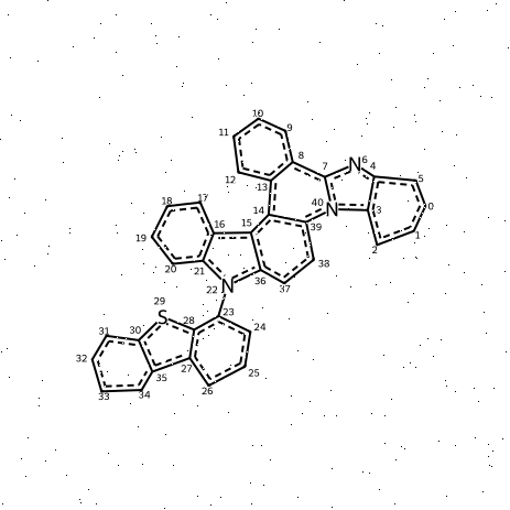 c1ccc2c(c1)nc1c3ccccc3c3c4c5ccccc5n(-c5cccc6c5sc5ccccc56)c4ccc3n21